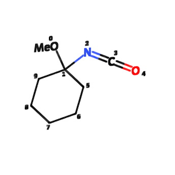 COC1(N=C=O)CCCCC1